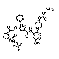 CCOC(=O)ON1CCN(C(=O)[C@H](CC(=O)O)NC(=O)c2cc(OCC(=O)N3CCC[C@H]3C(=O)NCC(F)(F)F)n(-c3ccccc3)n2)CC1